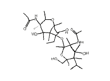 CCC(C)(OC1(C)OC(C)(CO)C(C)(C(C)C)C(C)(O)C1(C)NC(C)=O)C1(C)C(C)(CO)OC(C)[C@](C)(NC(C)=O)C1(C)O